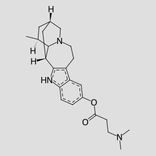 C[C@H]1C[C@H]2C[C@H]3c4[nH]c5ccc(OC(=O)CCN(C)C)cc5c4CCN(C2)C13